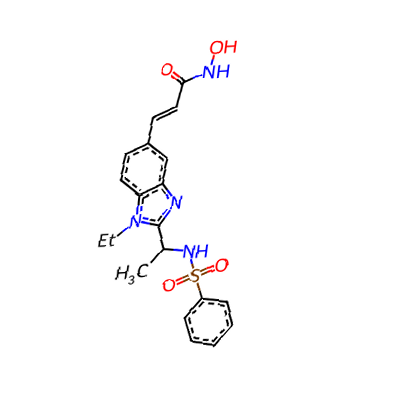 CCn1c(C(C)NS(=O)(=O)c2ccccc2)nc2cc(C=CC(=O)NO)ccc21